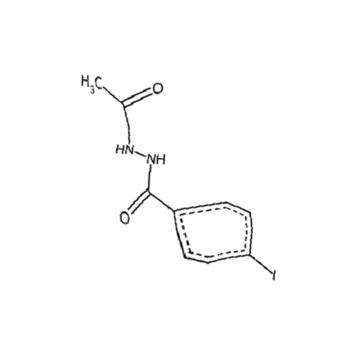 CC(=O)NNC(=O)c1ccc(I)cc1